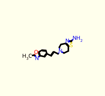 Cc1nc2cc(C=CCN3CCc4nc(N)sc4CC3)ccc2o1